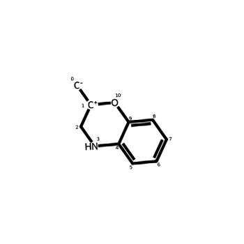 [CH2-][C+]1CNc2ccccc2O1